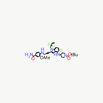 C=CC(F)(F)Cn1c(C#CCNc2ccc(C(N)=O)cc2OC)cc2c(NC3CCN(C(=O)OC(C)(C)C)CC3F)cccc21